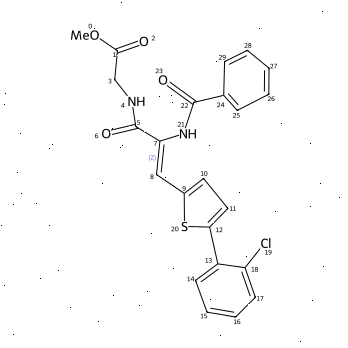 COC(=O)CNC(=O)/C(=C/c1ccc(-c2ccccc2Cl)s1)NC(=O)c1ccccc1